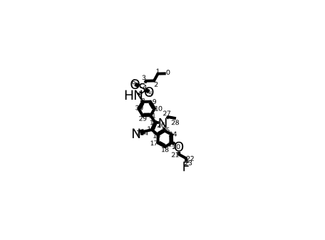 CCCCS(=O)(=O)Nc1ccc(-c2c(C#N)c3ccc(OCCF)cc3n2CC)cc1